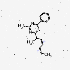 C/N=C\C=C/C(C)c1nc(N)nc(-c2ccccc2)n1